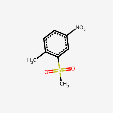 Cc1ccc([N+](=O)[O-])cc1S(C)(=O)=O